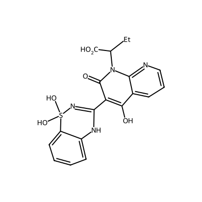 CCC(C(=O)O)n1c(=O)c(C2=NS(O)(O)c3ccccc3N2)c(O)c2cccnc21